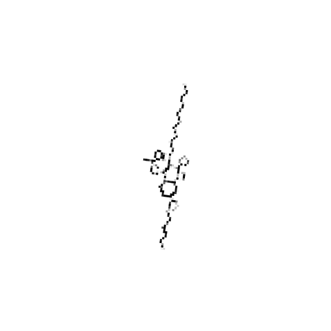 CC/C=C/CCOc1ccc2c(OC(C)=O)c(OCCCCCCCCCC)c(=O)oc2c1